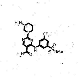 CNS(=O)(=O)c1cc(Nc2nc(N3CCC[C@H](N)C3)ncc2C(N)=O)cc(C(F)(F)F)c1